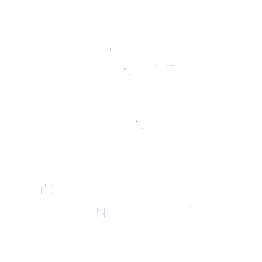 CN(C)CN(c1c(C=O)cnc2[nH]ccc12)C1CCCCC1